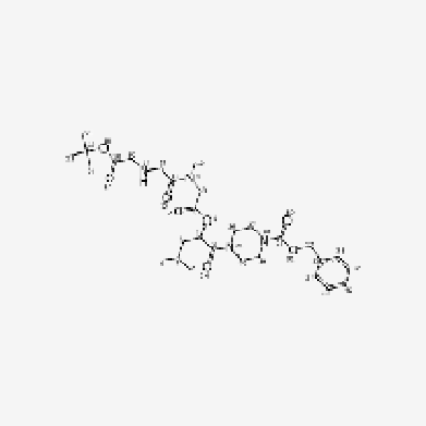 CC(C)CC(OC(=O)CN(C)C(=O)CNCC(=O)OC(C)(C)C)C(=O)N1CCN(C(=O)OCc2ccccc2)CC1